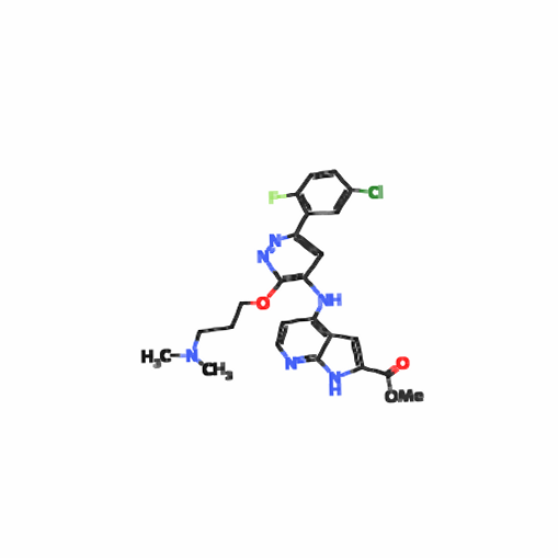 COC(=O)c1cc2c(Nc3cc(-c4cc(Cl)ccc4F)nnc3OCCCN(C)C)ccnc2[nH]1